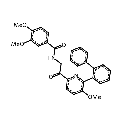 COc1ccc(C(=O)NCC(=O)c2ccc(OC)c(-c3ccccc3-c3ccccc3)n2)cc1OC